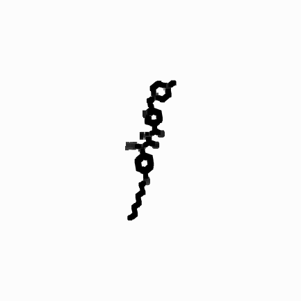 CCCCCCCOc1ccc(N(S)C(=O)NC(=O)c2ccc(CN3CCN(C)CC3)nc2)cc1